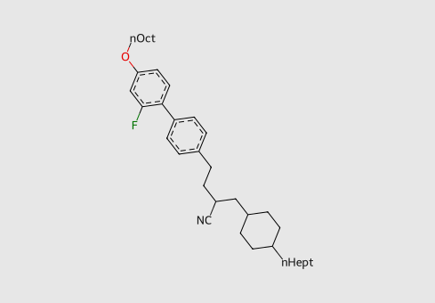 CCCCCCCCOc1ccc(-c2ccc(CCC(C#N)CC3CCC(CCCCCCC)CC3)cc2)c(F)c1